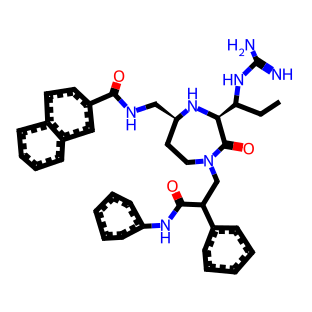 CCC(NC(=N)N)[C@@H]1N[C@H](CNC(=O)c2ccc3ccccc3c2)CCN(CC(C(=O)Nc2ccccc2)c2ccccc2)C1=O